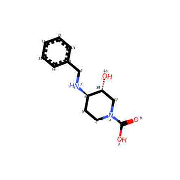 O=C(O)N1CC[C@@H](NCc2ccccc2)[C@H](O)C1